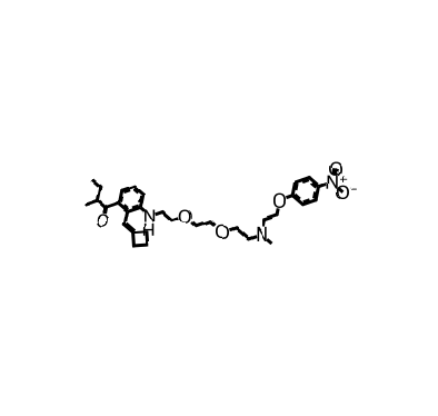 CCC(C)C(=O)c1cccc(NCCOCCOCCN(C)CCOc2ccc([N+](=O)[O-])cc2)c1C=C1CCC1